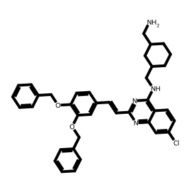 NCC1CCCC(CNc2nc(C=Cc3ccc(OCc4ccccc4)c(OCc4ccccc4)c3)nc3cc(Cl)ccc23)C1